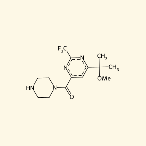 COC(C)(C)c1cc(C(=O)N2CCNCC2)nc(C(F)(F)F)n1